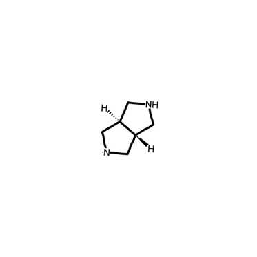 C1[N]C[C@H]2CNC[C@H]12